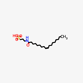 CCCCCCCC/C=C\CCCCCCCC(=O)NCCCS(=O)(=O)O